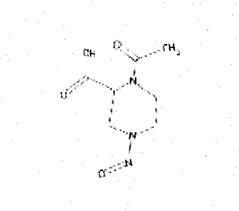 CC(=O)N1CCN(N=O)CC1C(=O)O